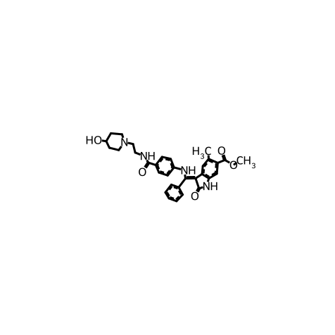 COC(=O)c1cc2c(cc1C)C(=C(Nc1ccc(C(=O)NCCN3CCC(O)CC3)cc1)c1ccccc1)C(=O)N2